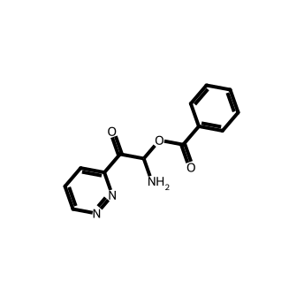 NC(OC(=O)c1ccccc1)C(=O)c1cccnn1